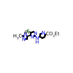 CCOC(=O)c1ccc(Nc2ncc(F)c(-c3cnc(C)n3C(C)C)n2)cn1